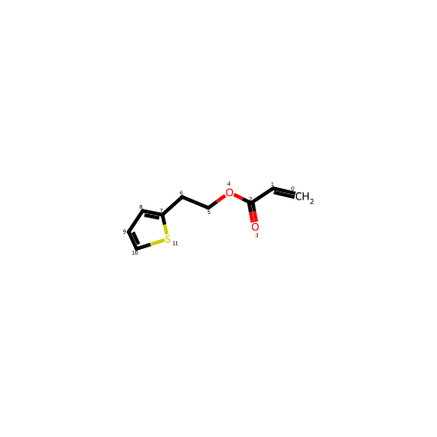 C=CC(=O)OCCc1cccs1